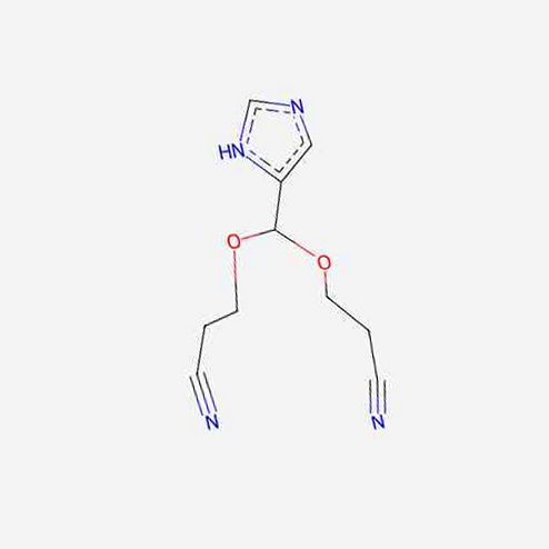 N#CCCOC(OCCC#N)c1cnc[nH]1